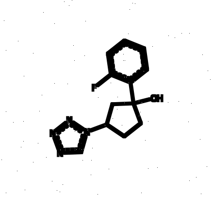 OC1(c2ccccc2F)CCC(n2cnnn2)C1